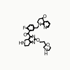 O=C1CCN(Cc2ccc(F)c(C(=O)c3nc(OCCC4CNCCO4)nc4c3CNCC4)c2)c2ncccc21